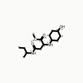 CCC(C)NC(=O)CC(NC1CCC(O)CC1)C(=O)OC